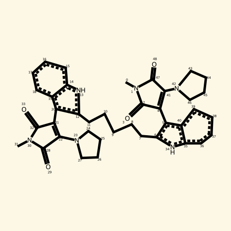 CN1C(=O)C(c2c(CCCCCc3[nH]c4ccccc4c3C3=C(N4CCCC4)C(=O)N(C)C3=O)[nH]c3ccccc23)=C(N2CCCC2)C1=O